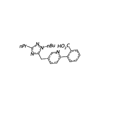 CCCCn1nc(CCC)nc1Cc1ccc(-c2ccccc2C(=O)O)nc1